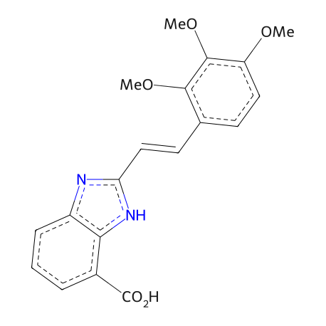 COc1ccc(C=Cc2nc3cccc(C(=O)O)c3[nH]2)c(OC)c1OC